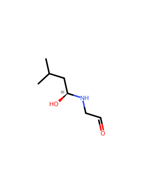 CC(C)C[C@H](O)NCC=O